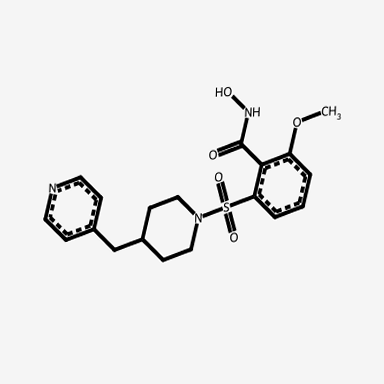 COc1cccc(S(=O)(=O)N2CCC(Cc3ccncc3)CC2)c1C(=O)NO